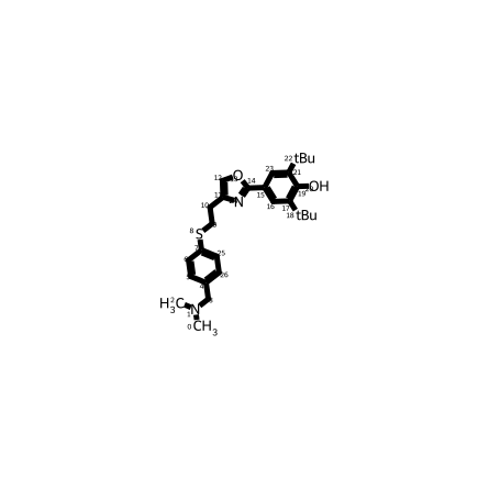 CN(C)Cc1ccc(SCCc2coc(-c3cc(C(C)(C)C)c(O)c(C(C)(C)C)c3)n2)cc1